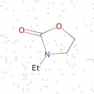 [CH2]CN1CCOC1=O